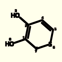 OC1=C(O)C=CS[C]1